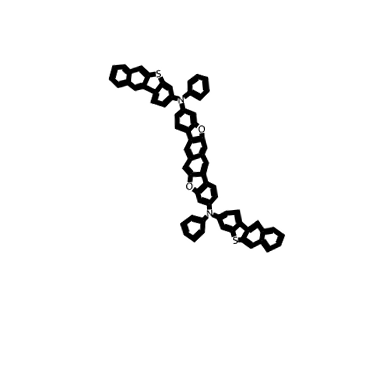 c1ccc(N(c2ccc3c(c2)oc2cc4cc5c(cc4cc23)oc2cc(N(c3ccccc3)c3ccc4c(c3)sc3cc6ccccc6cc34)ccc25)c2ccc3c(c2)sc2cc4ccccc4cc23)cc1